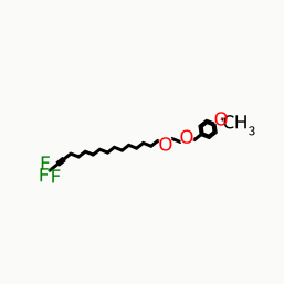 COc1ccc(COCCOCCCCCCCCCCCCCC#CC(F)(F)F)cc1